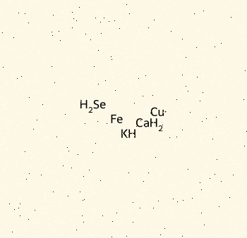 [CaH2].[Cu].[Fe].[KH].[SeH2]